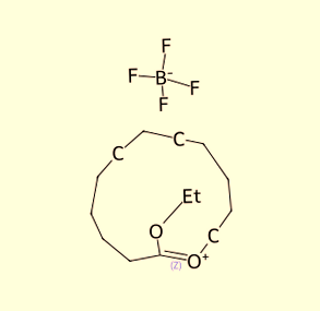 CCO/C1=[O+]\CCCCCCCCCCC1.F[B-](F)(F)F